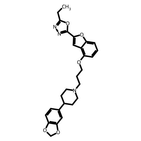 CCc1nnc(-c2cc3c(OCCCN4CCC(c5ccc6c(c5)OCO6)CC4)cccc3o2)o1